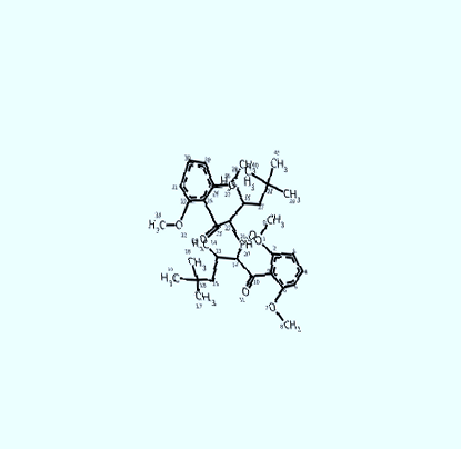 COc1cccc(OC)c1C(=O)C(C(C)CC(C)(C)C)[PH](=O)C(C(=O)c1c(OC)cccc1OC)C(C)CC(C)(C)C